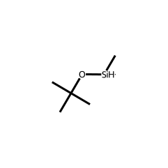 C[SiH]OC(C)(C)C